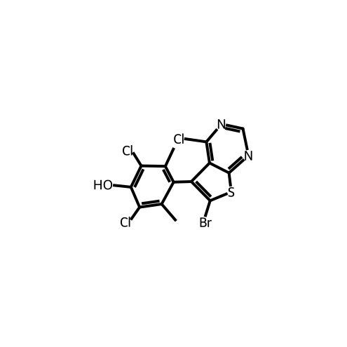 Cc1c(Cl)c(O)c(Cl)c(C)c1-c1c(Br)sc2ncnc(Cl)c12